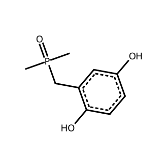 CP(C)(=O)Cc1cc(O)ccc1O